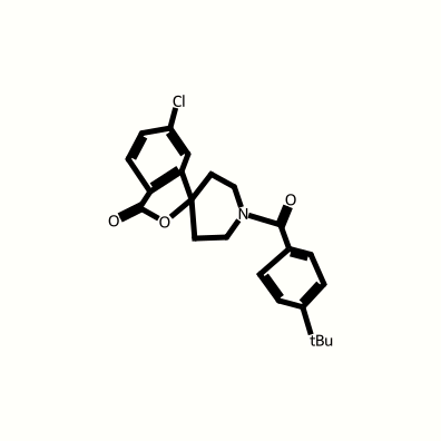 CC(C)(C)c1ccc(C(=O)N2CCC3(CC2)OC(=O)c2ccc(Cl)cc23)cc1